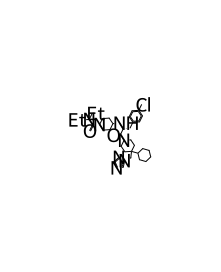 CCN(CC)C(=O)N1CCC(N[C@H](Cc2ccc(Cl)cc2)C(=O)N2CCC(Cn3cncn3)(C3CCCCC3)CC2)CC1